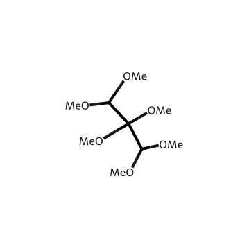 CO[C](OC)C(OC)(OC)C(OC)OC